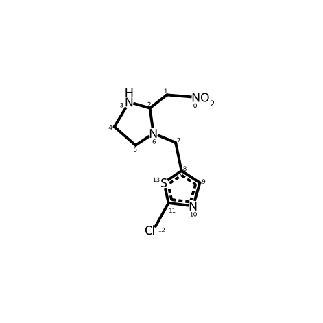 O=[N+]([O-])CC1NCCN1Cc1cnc(Cl)s1